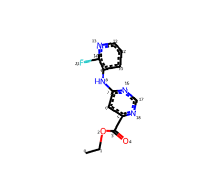 CCOC(=O)c1cc(Nc2cccnc2F)ncn1